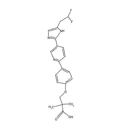 CC(C)(COc1ccc(-c2ccc(-c3ncc(CC(F)F)[nH]3)cn2)cc1)C(=O)O